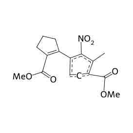 COC(=O)C1=C(c2ccc(C(=O)OC)c(C)c2[N+](=O)[O-])CCC1